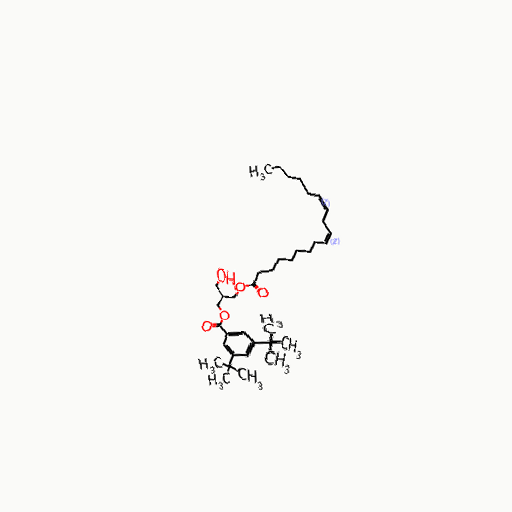 CCCCC/C=C\C/C=C\CCCCCCCC(=O)OCC(CO)COC(=O)c1cc(C(C)(C)C)cc(C(C)(C)C)c1